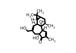 CC1=C[C@H]2[C@@]3(O)[C@H](C)C[C@]4(Br)[C@@H]([C@@H]3C=C(CO)C[C@]2(O)C1=O)C4(C)C